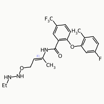 CCNNOC/C=C(\C)NC(=O)c1cc(C(F)(F)F)ccc1Oc1cc(F)ccc1C